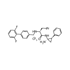 CC(C)C[C@H](N[C@@H](c1ccc(-c2c(F)cccc2F)cc1)C(F)(F)F)C(=O)N[C@]1(N)C[C@@H]1c1ccccc1